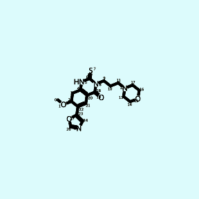 COC1Cc2[nH]c(=S)n(CCCN3CCOCC3)c(=O)c2C=C1c1cnco1